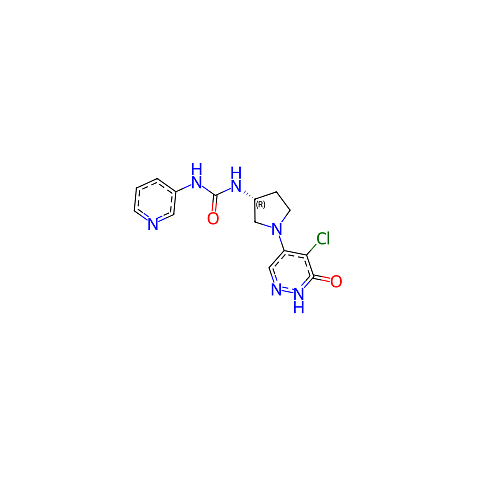 O=C(Nc1cccnc1)N[C@@H]1CCN(c2cn[nH]c(=O)c2Cl)C1